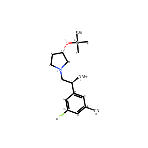 CN[C@H](CN1CC[C@H](O[Si](C)(C)C(C)(C)C)C1)c1cc(F)cc(C#N)c1